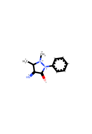 CC1C(=N)C(=O)N(c2ccccc2)N1C